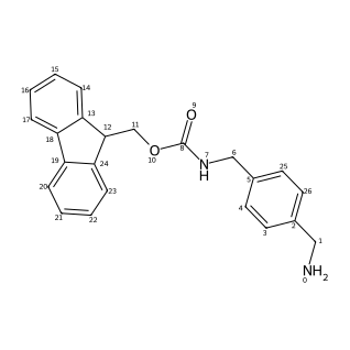 NCc1ccc(CNC(=O)OCC2c3ccccc3-c3ccccc32)cc1